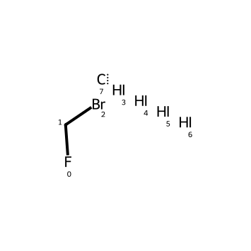 FCBr.I.I.I.I.[C]